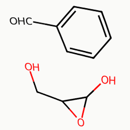 O=Cc1ccccc1.OCC1OC1O